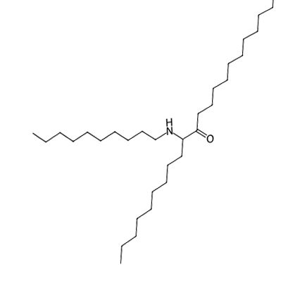 CCCCCCCCCCCC(=O)C(CCCCCCCCC)NCCCCCCCCCC